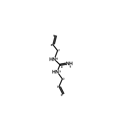 C=CCNC(=N)NCC=C